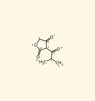 CC(C)C(=O)C1C(=O)COC1=O